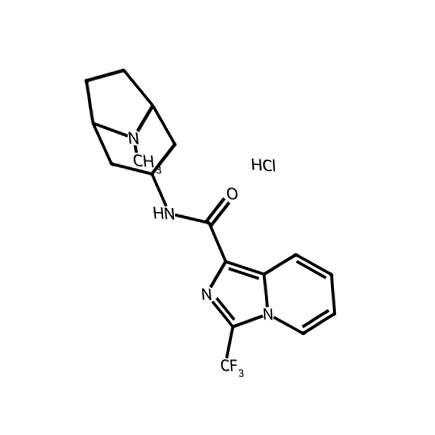 CN1C2CCC1CC(NC(=O)c1nc(C(F)(F)F)n3ccccc13)C2.Cl